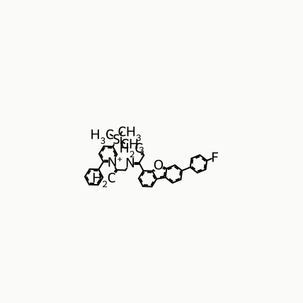 C=C/C(=N/CC(=C)[n+]1cc([Si](C)(C)C)ccc1-c1ccccc1)c1cccc2c1oc1cc(-c3ccc(F)cc3)ccc12